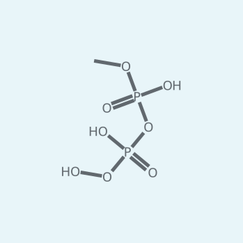 COP(=O)(O)OP(=O)(O)OO